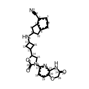 N#Cc1cccc2c1CC(NC1CC(C3CN(c4ccc5c(n4)NC(=O)CO5)C(=O)O3)C1)C2